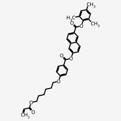 C=CC(=O)OCCCCCCOc1ccc(C(=O)Oc2ccc3cc(C(=O)Oc4c(C)cc(C)cc4C)ccc3c2)cc1